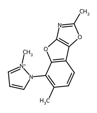 Cc1nc2oc3c(-n4ccc[n+]4C)c(C)ccc3c2o1